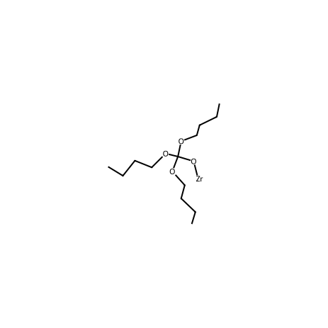 CCCCOC([O][Zr])(OCCCC)OCCCC